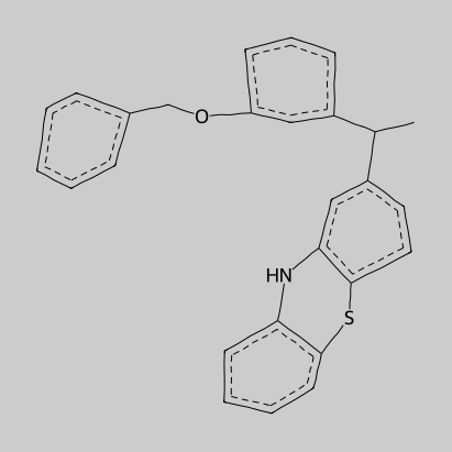 CC(c1cccc(OCc2ccccc2)c1)c1ccc2c(c1)Nc1ccccc1S2